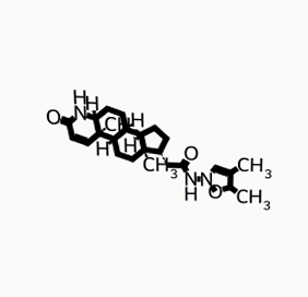 CC1=CN(NC(=O)C[C@H]2CC[C@H]3[C@@H]4CC[C@H]5NC(=O)C=C[C@]5(C)[C@H]4CC[C@]23C)OC1C